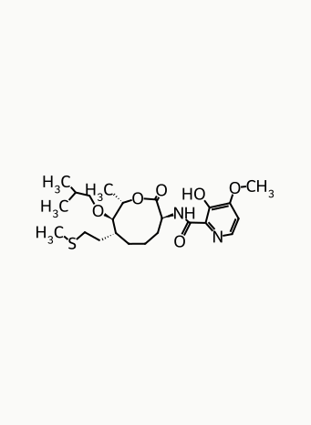 COc1ccnc(C(=O)N[C@H]2CCC[C@H](CCSC)[C@@H](OCC(C)C)[C@H](C)OC2=O)c1O